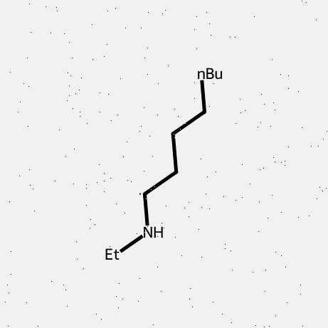 CCCCCCC[CH]NCC